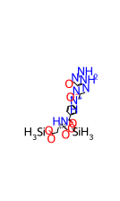 Nc1nc(=O)c2nc(C[NH+]([O-])c3ccc(C(=O)N[C@@H](CCC(=O)O[SiH3])C(=O)O[SiH3])cc3)cnc2[nH]1